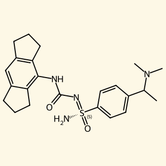 CC(c1ccc([S@@](N)(=O)=NC(=O)Nc2c3c(cc4c2CCC4)CCC3)cc1)N(C)C